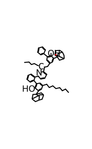 CCCCCCCCc1cc(-c2ccccc2-c2cccc(C(CCCCCC)Cc3cc(-c4ccccc4)c(O)c(C45CC6CC(CC(C6)C4)C5)c3)n2)c(O)c(C23CC4CC(CC(C4)C2)C3)c1